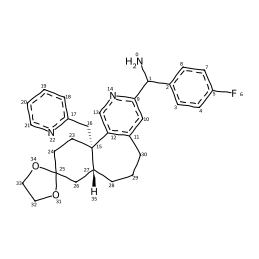 NC(c1ccc(F)cc1)c1cc2c(cn1)[C@]1(Cc3ccccn3)CCC3(C[C@H]1CCC2)OCCO3